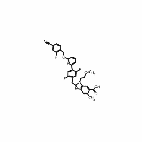 COCCn1c(Cc2cc(F)c(-c3cccc(OCc4ccc(C#N)cc4F)n3)cc2F)nc2cc(C)c(C(=O)O)cc21